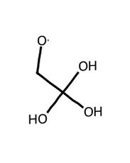 [O]CC(O)(O)O